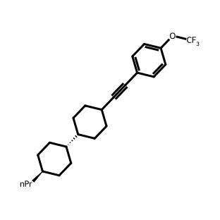 CCC[C@H]1CC[C@H](C2CCC(C#Cc3ccc(OC(F)(F)F)cc3)CC2)CC1